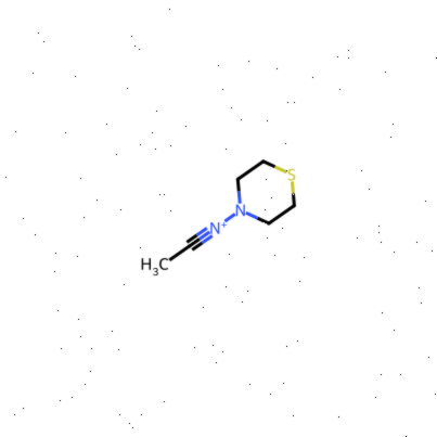 CC#[N+]N1CCSCC1